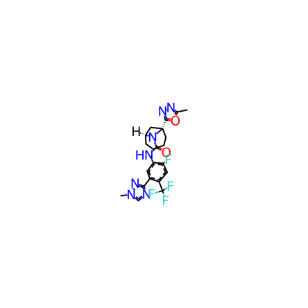 Cc1nnc([C@@]23CC[C@H](C)C[C@@H](C2)N3C(=O)Nc2cc(-c3ncn(C)n3)c(C(F)(F)F)cc2F)o1